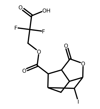 O=C(OCC(F)(F)C(=O)O)C1C2CC3C(OC(=O)C31)C2I